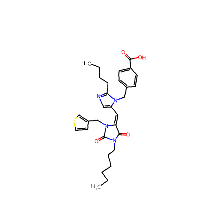 CCCCCCN1C(=O)C(=Cc2cnc(CCCC)n2Cc2ccc(C(=O)O)cc2)N(Cc2ccsc2)C1=O